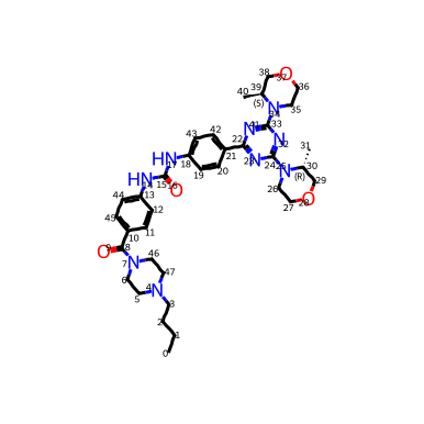 CCCCN1CCN(C(=O)c2ccc(NC(=O)Nc3ccc(-c4nc(N5CCOC[C@H]5C)nc(N5CCOC[C@@H]5C)n4)cc3)cc2)CC1